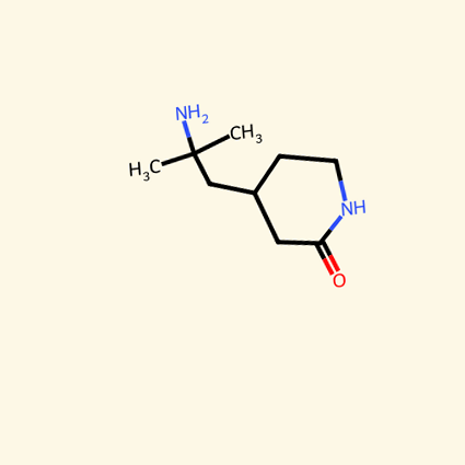 CC(C)(N)CC1CCNC(=O)C1